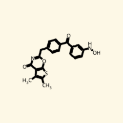 Cc1sc2oc(Cc3ccc(C(=O)c4cccc(NO)c4)cc3)nc(=O)c2c1C